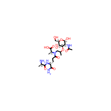 CC(=O)N[C@@H]1[C@@H](OC(C)CN(C(=O)CC[C@@H](NC(=O)[C@@H](C)N)C(N)=O)[C@@H](C)C(=O)O)[C@H](O)[C@@H](CO)O[C@@H]1O